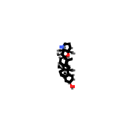 CC1=C2C[C@H]3[C@@H](CC=C4C[C@@H](O)CC[C@@]43C)[C@@H]2CC[C@]12O[C@@H]1CCCN[C@H]1[C@H]2C